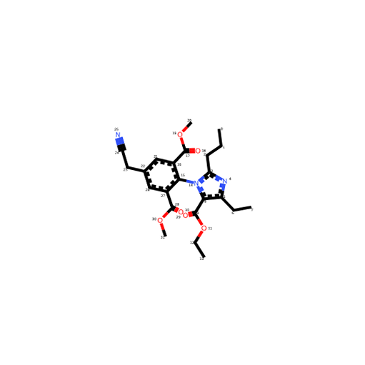 CCCc1nc(CC)c(C(=O)OCC)n1-c1c(C(=O)OC)cc(CC#N)cc1C(=O)OC